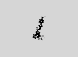 CCOc1ccc(N2CC(CC(=O)N3Cc4c(C)c(C)n5ncnc5c4C3)C2)cn1